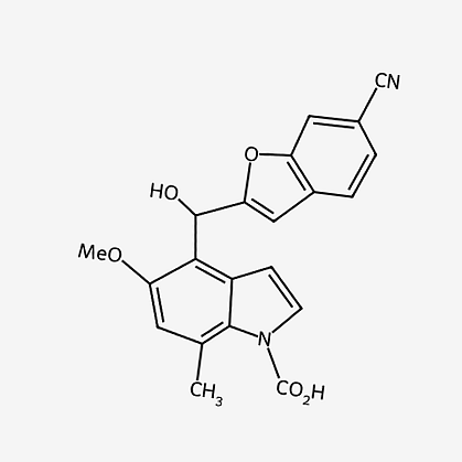 COc1cc(C)c2c(ccn2C(=O)O)c1C(O)c1cc2ccc(C#N)cc2o1